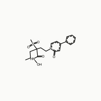 CCCC(CCn1ccc(-c2ccccc2)cc1=O)(C(=O)NO)S(C)(=O)=O